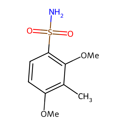 COc1ccc(S(N)(=O)=O)c(OC)c1C